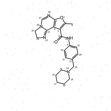 Cc1oc2c(c1C(=O)Nc1ccc(CN3CCCCC3)cc1)C1=NCCN1C=N2